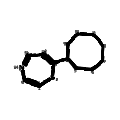 C1=CSC(C2CCCCCCC2)=CC=N1